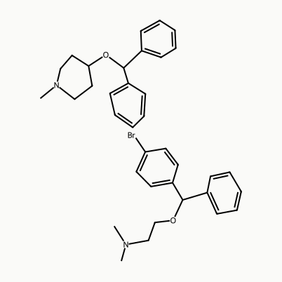 CN(C)CCOC(c1ccccc1)c1ccc(Br)cc1.CN1CCC(OC(c2ccccc2)c2ccccc2)CC1